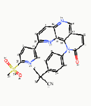 CC(C)(C#N)c1ccc(-n2c(=O)ccc3cnc4ccc(-c5ccc(S(C)(=O)=O)nc5)nc4c32)cc1